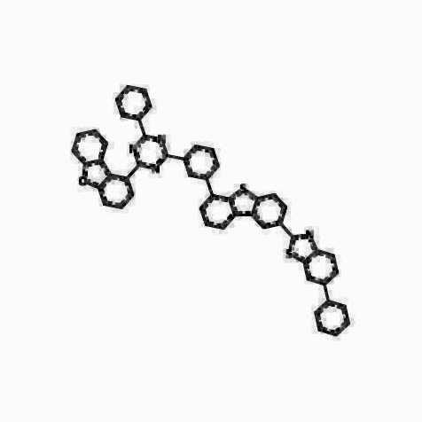 c1ccc(-c2ccc3nc(-c4ccc5sc6c(-c7cccc(-c8nc(-c9ccccc9)nc(-c9cccc%10oc%11ccccc%11c9%10)n8)c7)cccc6c5c4)sc3c2)cc1